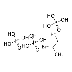 CC(Br)CBr.O=P(O)(O)O.O=P(O)(O)O.O=P(O)(O)O